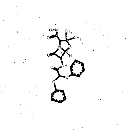 COC(=O)C1N2C(=O)C(NC(=O)C(Oc3ccccc3)Oc3ccccc3)[C@@H]2SC1(C)C